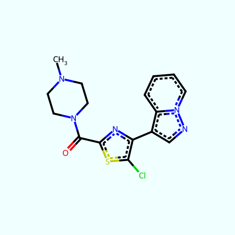 CN1CCN(C(=O)c2nc(-c3cnn4ccccc34)c(Cl)s2)CC1